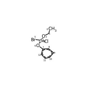 CCO[Si](Cl)(Br)Oc1ccccc1